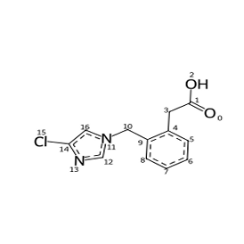 O=C(O)Cc1ccccc1Cn1cnc(Cl)c1